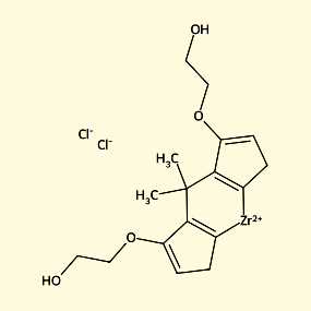 CC1(C)C2=[C](CC=C2OCCO)[Zr+2][C]2=C1C(OCCO)=CC2.[Cl-].[Cl-]